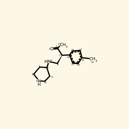 CC(=O)[C@H](CNC1CCNCC1)c1ccc(C)cc1